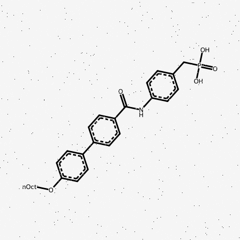 CCCCCCCCOc1ccc(-c2ccc(C(=O)Nc3ccc(CP(=O)(O)O)cc3)cc2)cc1